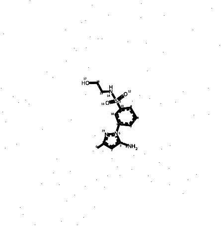 Cc1cc(N)n(-c2cccc(S(=O)(=O)NCCO)c2)n1